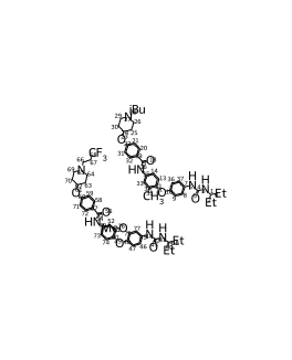 CCC(CC)NC(=O)Nc1ccc(Oc2ccc(NC(=O)c3ccc(OC4CCN(C(C)CC)CC4)cc3)cc2C)cc1.CCC(CC)NC(=O)Nc1ccc(Oc2ccc(NC(=O)c3ccc(OC4CCN(CCC(F)(F)F)CC4)cc3)cc2)c(OC)c1